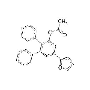 CC(=O)Oc1cc(-c2ccco2)cc(-c2ccccc2)c1-c1ccccc1